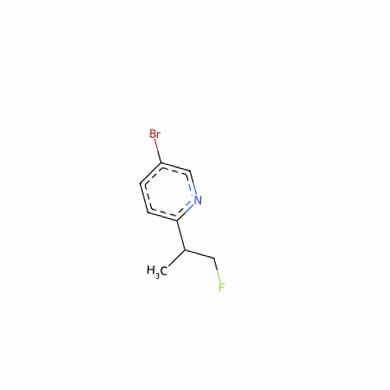 CC(CF)c1ccc(Br)cn1